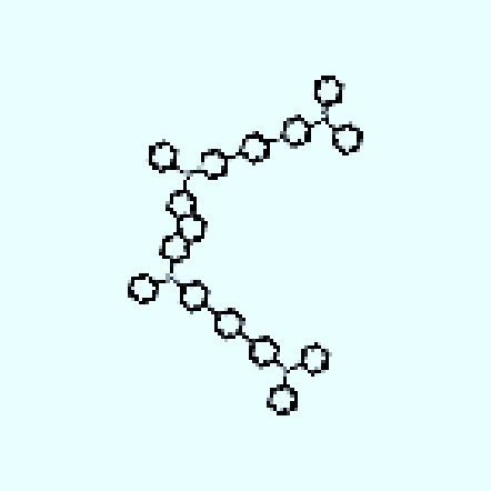 c1ccc(N(c2ccccc2)c2ccc(-c3ccc(-c4ccc(N(c5ccccc5)c5ccc6c(ccc7cc(N(c8ccccc8)c8ccc(-c9ccc(-c%10ccc(N(c%11ccccc%11)c%11ccccc%11)cc%10)cc9)cc8)ccc76)c5)cc4)cc3)cc2)cc1